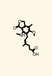 CNc1c(CC=C(C)CCC(=O)O)c(OC)c(C)c2c1C(=O)OC2